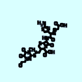 Cn1c(S/C=C/C2=C(C(=O)O)N3C(=O)C(NC(=O)/C(=N/OCC(=O)O)c4csc(N)n4)C3SC2)nn(CC=O)c(=O)c1=O